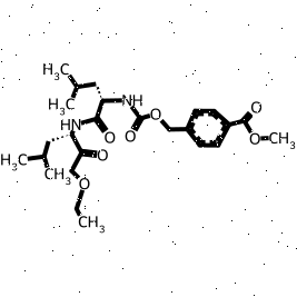 CCOCC(=O)[C@H](CC(C)C)NC(=O)[C@H](CC(C)C)NC(=O)OCc1ccc(C(=O)OC)cc1